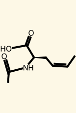 C/C=C\C[C@@H](NC(C)=O)C(=O)O